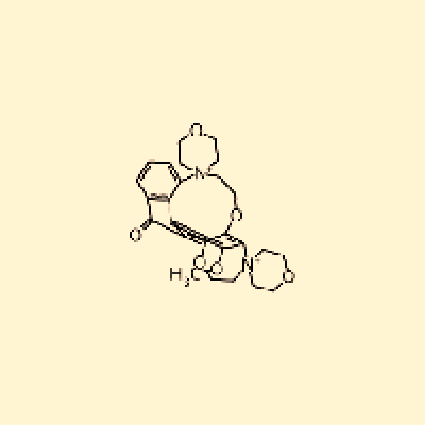 COc1c2c3c4c(c1[N+]1(CCOCC1)CCO4)OCC[N+]1(CCOCC1)c1cccc(c1-2)C3=O